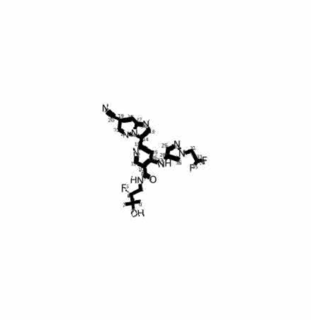 CC(C)(O)[C@H](F)CNC(=O)c1cnc(-c2cnc3cc(C#N)cnn23)cc1Nc1cnn(CC(F)F)c1